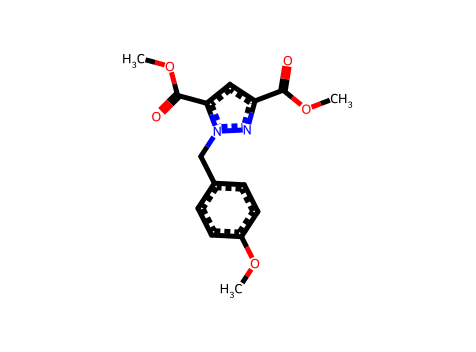 COC(=O)c1cc(C(=O)OC)n(Cc2ccc(OC)cc2)n1